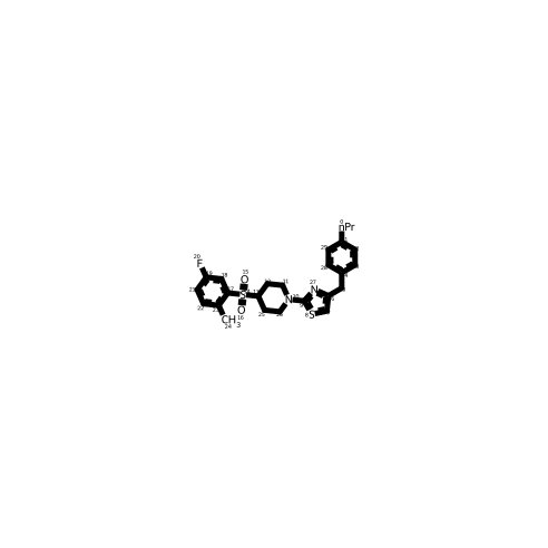 CCCc1ccc(Cc2csc(N3CCC(S(=O)(=O)c4cc(F)ccc4C)CC3)n2)cc1